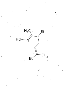 CCC(C)=CCC(CC)C(C)=NO